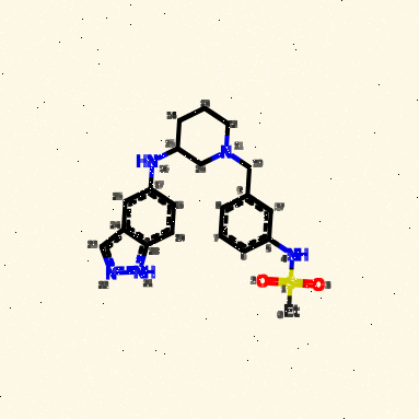 CCS(=O)(=O)Nc1cccc(CN2CCCC(Nc3ccc4[nH]ncc4c3)C2)c1